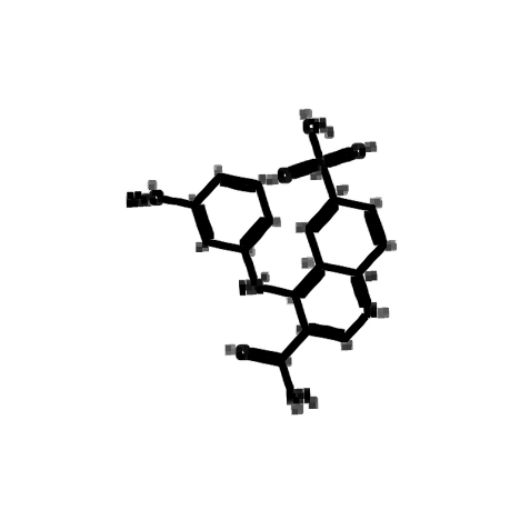 COc1cccc(Nc2c(C(N)=O)cnc3ccc(S(C)(=O)=O)cc23)c1